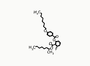 CCCCCCCCOc1ccc(C(=O)Oc2cccc(F)c2C(=O)O[C@H](C)CCCCCC)cc1